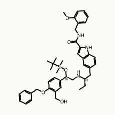 CC[C@H](Cc1ccc2[nH]c(C(=O)NCc3ccccc3OC)cc2c1)NC[C@H](O[Si](C)(C)C(C)(C)C)c1ccc(OCc2ccccc2)c(CO)c1